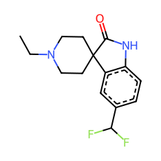 CCN1CCC2(CC1)C(=O)Nc1ccc(C(F)F)cc12